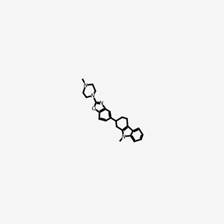 CN1CCN(c2nc3cc(C4CCc5c(n(C)c6ccccc56)C4)ccc3o2)CC1